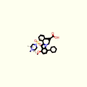 COc1ccc(C2CCCCC2)c2c1cc1n2CC2=C(C(=O)O)C2=C2C=CC[C@@H](S(=O)(=O)N3C[C@@H](C)N(C)[C@@H](C)C3)C21